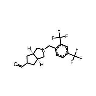 O=CC1C[C@@H]2CN(Cc3ccc(C(F)(F)F)cc3C(F)(F)F)C[C@@H]2C1